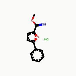 COC(=N)c1ccc(-c2ccccc2)o1.Cl